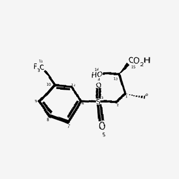 C[C@H](CS(=O)(=O)c1cccc(C(F)(F)F)c1)[C@@H](O)C(=O)O